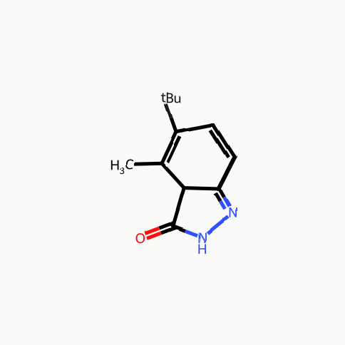 CC1=C(C(C)(C)C)C=CC2=NNC(=O)C21